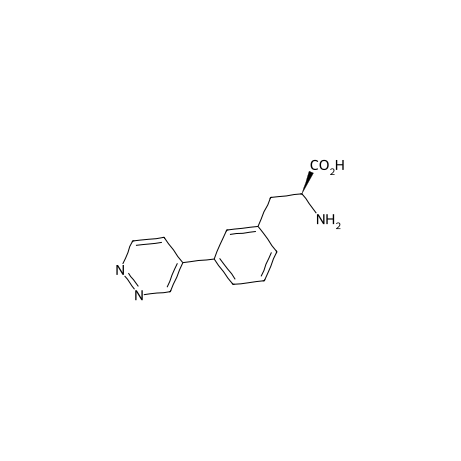 N[C@@H](Cc1cccc(-c2ccnnc2)c1)C(=O)O